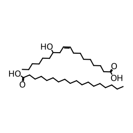 CCCCCCC(O)C/C=C\CCCCCCCC(=O)O.CCCCCCCCCCCCCCCCCC(=O)O